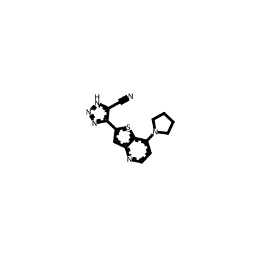 N#Cc1[nH]nnc1-c1cc2nccc(N3CCCC3)c2s1